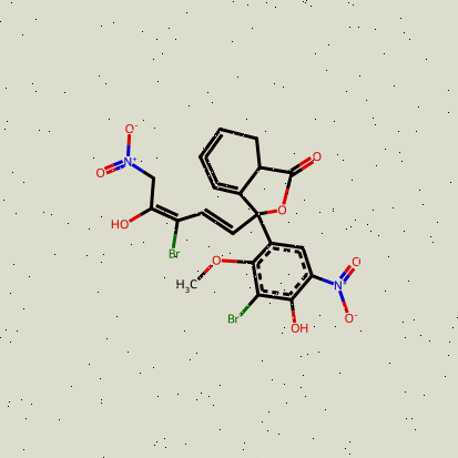 COc1c(C2(/C=C/C(Br)=C(/O)C[N+](=O)[O-])OC(=O)C3CC=C=C=C32)cc([N+](=O)[O-])c(O)c1Br